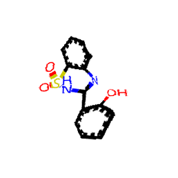 O=S1(=O)NC(c2ccccc2O)=Nc2ccccc21